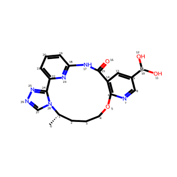 C[C@H]1CCCOc2ncc(B(O)O)cc2C(=O)Nc2cccc(n2)-c2nncn21